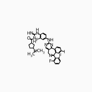 CN(C)C1CCC(C(=O)NC(=N)Nc2ccc(Nc3ncc4c(n3)-c3ccc(I)cc3C(c3c(F)cccc3F)=NC4)cc2F)C1